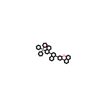 c1ccc([Si](c2ccccc2)(c2ccccc2)c2ccc(-c3ccc(-c4ccc5c(c4)Oc4cccc6cccc-5c46)c4ccccc34)c3ccccc23)cc1